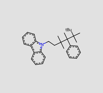 CC(C)(C)C(C)(C)C(C)(c1ccccc1)C(C)(C)CCn1c2ccccc2c2ccccc21